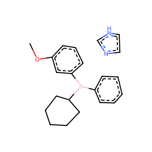 COc1cccc(B(c2ccccc2)C2CCCCC2)c1.c1c[nH]cn1